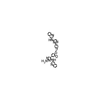 COc1cc(-c2cnc(N)nc2Nc2cnc3ccccc3c2)ccc1OCCN1CCN(c2nccc(Nc3cnc4ccccc4c3)n2)CC1